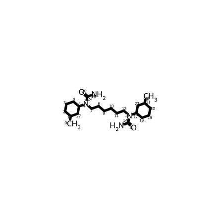 CC1CCCC(N(CCCCCCN(C(N)=O)C2CCCC(C)C2)C(N)=O)C1